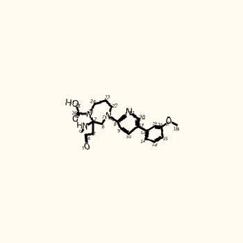 CNC1(CC=O)CN(c2ccc(-c3cccc(OC)c3)cn2)CCCN1C(=O)O